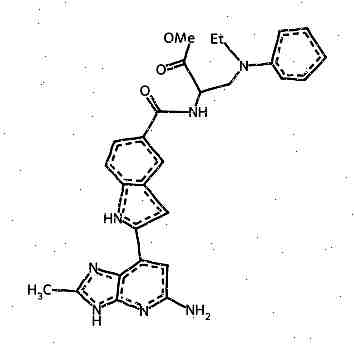 CCN(CC(NC(=O)c1ccc2[nH]c(-c3cc(N)nc4[nH]c(C)nc34)cc2c1)C(=O)OC)c1ccccc1